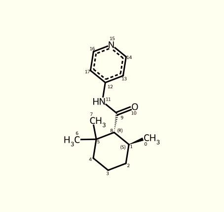 C[C@H]1CCCC(C)(C)[C@@H]1C(=O)Nc1ccncc1